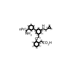 CCC[C@@H](N)c1cccc(-c2cc(COc3ccccc3CC(=O)O)cc(NCC3CC3)c2)c1